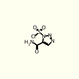 NC(=O)c1cnnn1S(=O)(=O)Cl